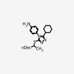 CCCCCCCCCCC(C)Sc1nnc(C2CCCCC2)n1-c1ccc(N)cc1